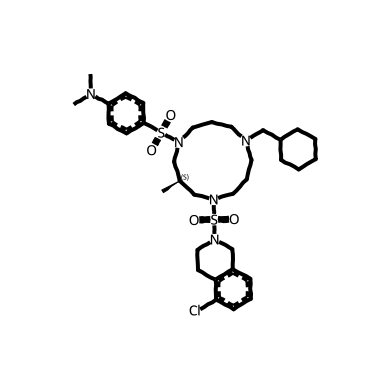 C[C@H]1CN(S(=O)(=O)c2ccc(N(C)C)cc2)CCCN(CC2CCCCC2)CCCN(S(=O)(=O)N2CCc3c(Cl)cccc3C2)C1